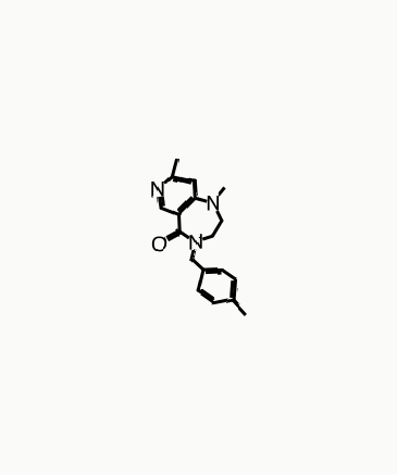 Cc1ccc(CN2CCN(C)c3cc(C)ncc3C2=O)cc1